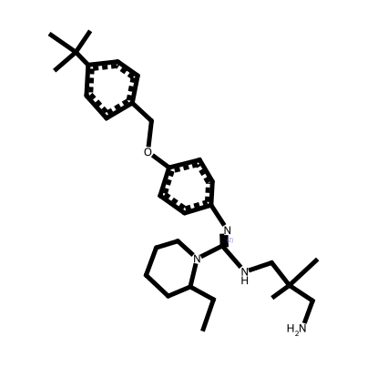 CCC1CCCCN1/C(=N\c1ccc(OCc2ccc(C(C)(C)C)cc2)cc1)NCC(C)(C)CN